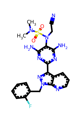 CN(C)S(=O)(=O)N(CC#N)c1c(N)nc(-c2nn(Cc3ccccc3F)c3ncccc23)nc1N